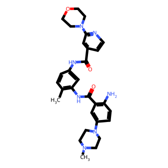 Cc1ccc(NC(=O)c2ccnc(N3CCOCC3)c2)cc1NC(=O)c1cc(N2CCN(C)CC2)ccc1N